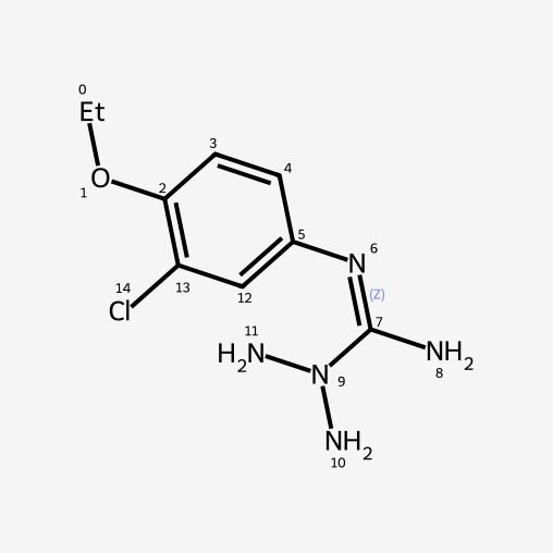 CCOc1ccc(/N=C(/N)N(N)N)cc1Cl